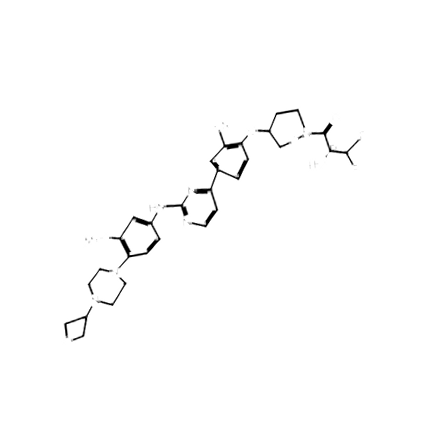 COc1cc(Nc2nccc(-c3ccc(OC4CCN(C(=O)[C@H](O)C(F)F)CC4)c(C#N)c3)n2)ccc1N1CCN(C2COC2)CC1